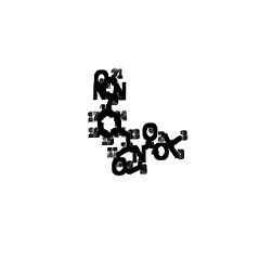 CC(C)(C)OC(=O)N1CCOCC1Cc1cccc(-c2ncon2)c1